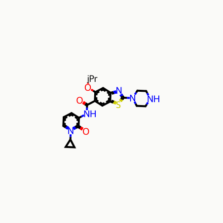 CC(C)Oc1cc2nc(N3CCNCC3)sc2cc1C(=O)Nc1cccn(C2CC2)c1=O